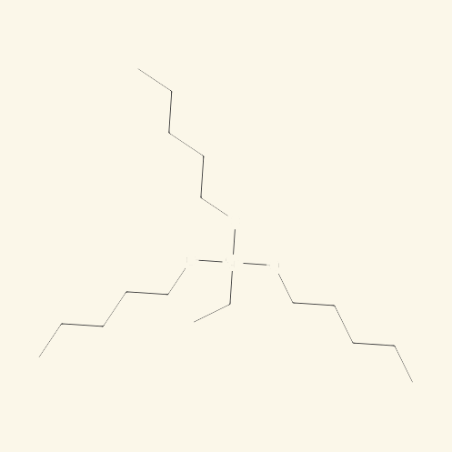 CCCCC[O][Sn]([CH2]C)([O]CCCCC)[O]CCCCC